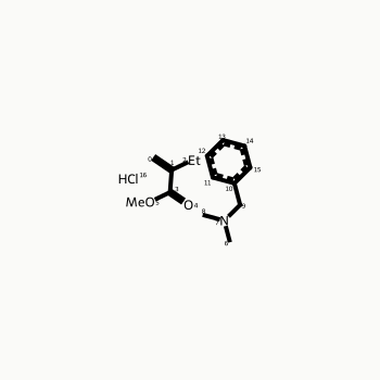 C=C(CC)C(=O)OC.CN(C)Cc1ccccc1.Cl